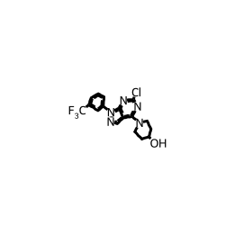 OC1CCN(c2nc(Cl)nc3c2cnn3-c2cccc(C(F)(F)F)c2)CC1